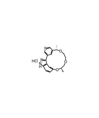 C[C@@H]1COCCO[C@@H](C)c2cncc(c2)-c2n[nH]c3ccc(cc23)O1.Cl